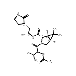 CCC(C(NC(=O)C(F)(F)F)C(=O)N1C[C@H]2[C@@H]([C@H]1C(=O)N[C@H](C#N)C[C@@H]1CCNC1=O)C2(C)C)C(F)(F)F